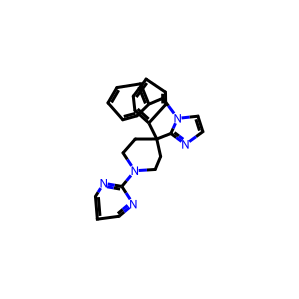 c1ccc(Cn2ccnc2C2(c3ccccc3)CCN(c3ncccn3)CC2)cc1